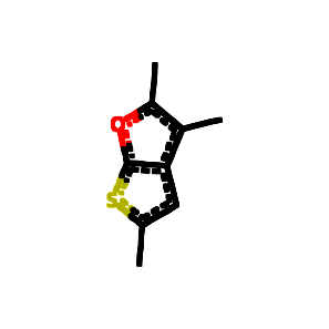 Cc1cc2c(C)c(C)oc2s1